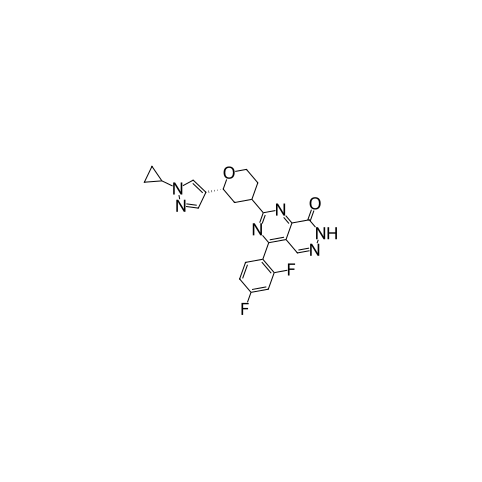 O=c1[nH]ncc2c(-c3ccc(F)cc3F)nc(C3CCO[C@@H](c4cnn(C5CC5)c4)C3)nc12